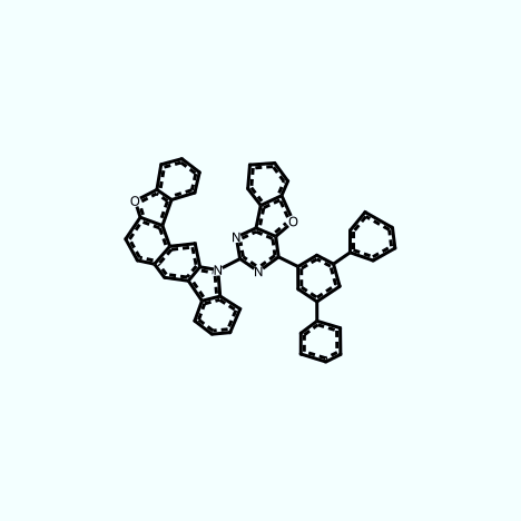 c1ccc(-c2cc(-c3ccccc3)cc(-c3nc(-n4c5ccccc5c5cc6ccc7oc8ccccc8c7c6cc54)nc4c3oc3ccccc34)c2)cc1